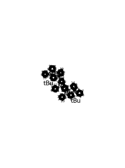 CC(C)(C)c1cc(N(c2ccccc2)c2ccccc2)c(Br)c(N(c2ccccc2)c2ccc3c4ccc(N(c5ccccc5)c5cc(C(C)(C)C)cc(N(c6ccccc6)c6ccccc6)c5Br)cc4n(-c4ccccc4)c3c2)c1